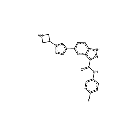 O=C(Nc1ccc(F)cc1)c1n[nH]c2ccc(-c3cnn(C4CNC4)c3)cc12